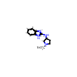 CCOC(=O)N1CCC(Nc2nc3ccccc3[nH]2)C1